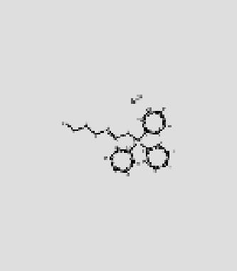 CCCCC=CC[P+](c1ccccc1)(c1ccccc1)c1ccccc1.[Br-]